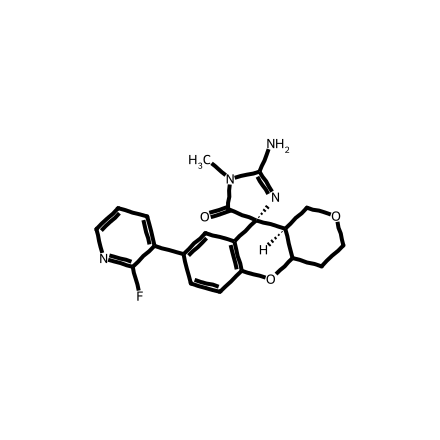 CN1C(=O)[C@]2(N=C1N)c1cc(-c3cccnc3F)ccc1OC1CCOC[C@@H]12